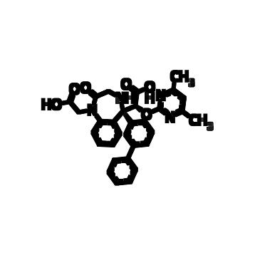 Cc1cc(C)nc(O[C@H](C(=O)O)[C@@]2(c3cccc(-c4ccccc4)c3)NCC(=O)N(CC(=O)O)c3ccccc32)n1